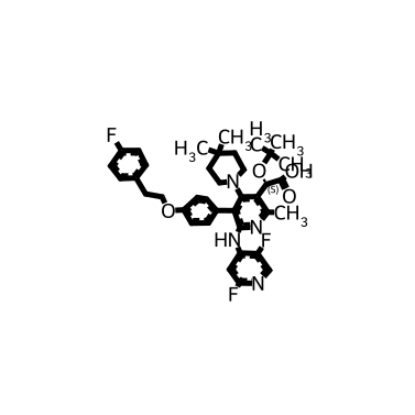 Cc1nc(Nc2cc(F)ncc2F)c(-c2ccc(OCCc3ccc(F)cc3)cc2)c(N2CCC(C)(C)CC2)c1[C@H](OC(C)(C)C)C(=O)O